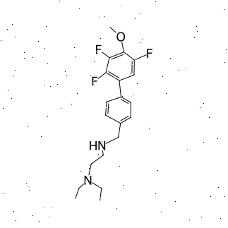 CCN(CC)CCNCc1ccc(-c2cc(F)c(OC)c(F)c2F)cc1